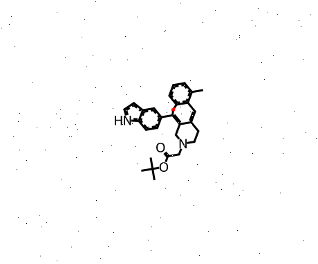 C/C(=C1/CN(CC(=O)OC(C)(C)C)CC/C1=C/c1c(C)cccc1C)c1ccc2[nH]ccc2c1